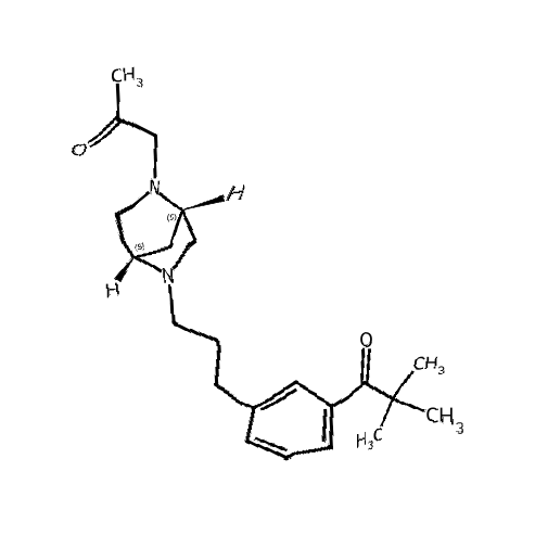 CC(=O)CN1C[C@@H]2C[C@H]1CN2CCCc1cccc(C(=O)C(C)(C)C)c1